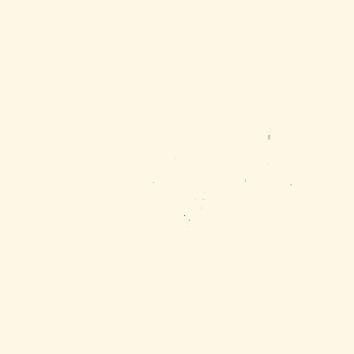 CCCCCCCCC=CCCCCCCC(C(=O)O)C(C)C.O=S(=O)(O)O.[NaH]